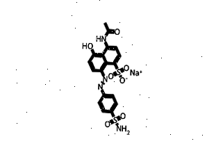 CC(=O)Nc1ccc(S(=O)(=O)[O-])c2c(N=Nc3ccc(S(N)(=O)=O)cc3)ccc(O)c12.[Na+]